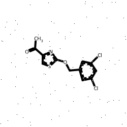 CC(=O)c1csc(OCc2cc(Cl)cc(Cl)c2)n1